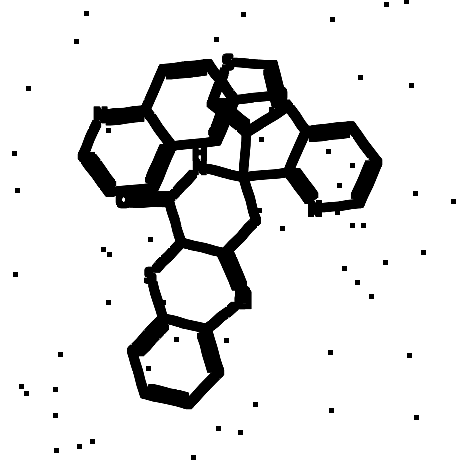 O=C1CC(c2ccsc2)(c2ncccc2Oc2ccc3ncccc3c2)NC(=O)C1Sc1ccccc1Cl